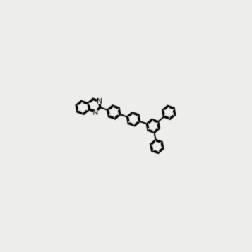 c1ccc(-c2cc(-c3ccccc3)cc(-c3ccc(-c4ccc(-c5ncc6ccccc6n5)cc4)cc3)c2)cc1